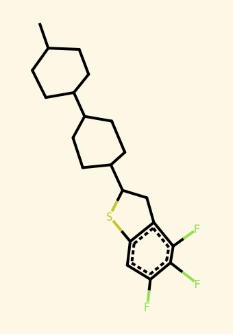 CC1CCC(C2CCC(C3Cc4c(cc(F)c(F)c4F)S3)CC2)CC1